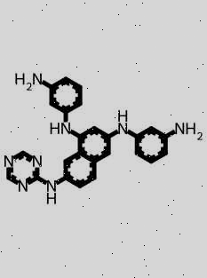 Nc1cccc(Nc2cc(Nc3cccc(N)c3)c3cc(Nc4ncncn4)ccc3c2)c1